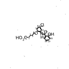 O=C(O)CCCCOc1ccc(Cl)cc1NC(=O)c1ccccc1O